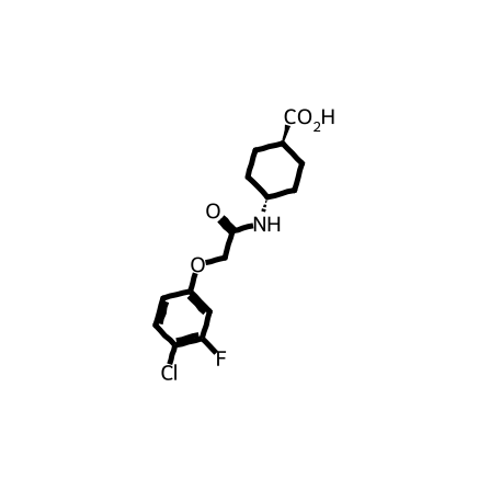 O=C(COc1ccc(Cl)c(F)c1)N[C@H]1CC[C@H](C(=O)O)CC1